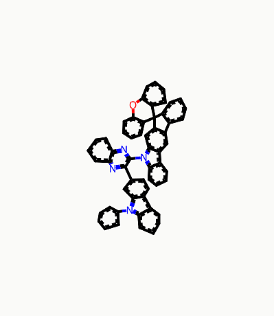 c1ccc(-n2c3ccccc3c3ccc(-c4nc5ccccc5nc4-n4c5ccccc5c5cc6c(cc54)C4(c5ccccc5Oc5ccccc54)c4ccccc4-6)cc32)cc1